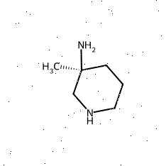 C[C@]1(N)CCCNC1